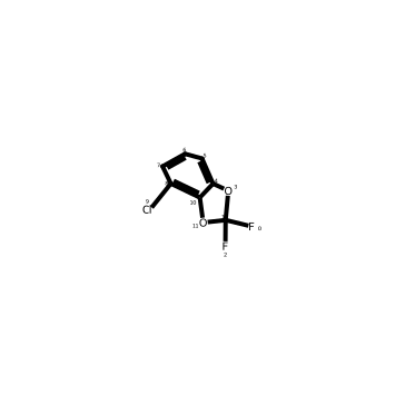 FC1(F)Oc2cc[c]c(Cl)c2O1